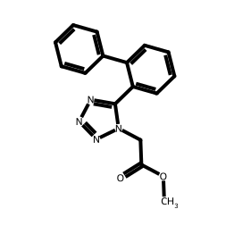 COC(=O)Cn1nnnc1-c1ccccc1-c1ccccc1